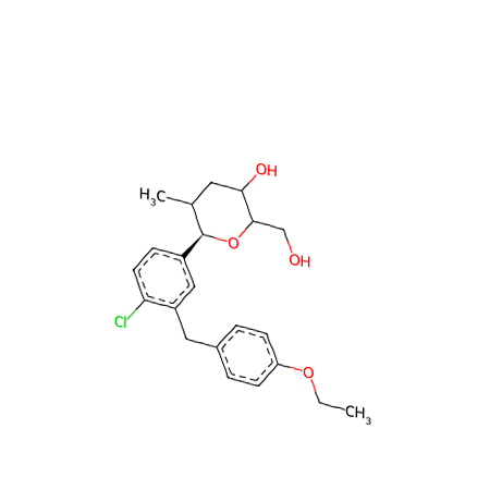 CCOc1ccc(Cc2cc([C@@H]3OC(CO)C(O)CC3C)ccc2Cl)cc1